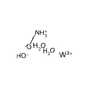 O.O.[NH3+][O].[OH-].[W+2]